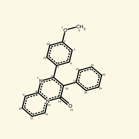 COc1ccc(-c2nc3ccccn3c(=O)c2-c2ccccc2)cc1